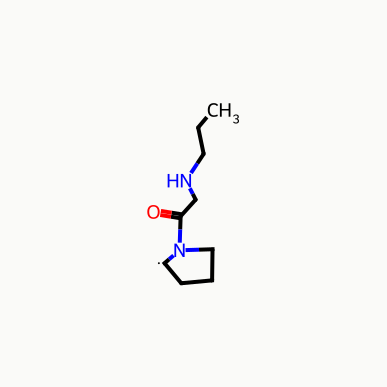 CCCNCC(=O)N1[CH]CCC1